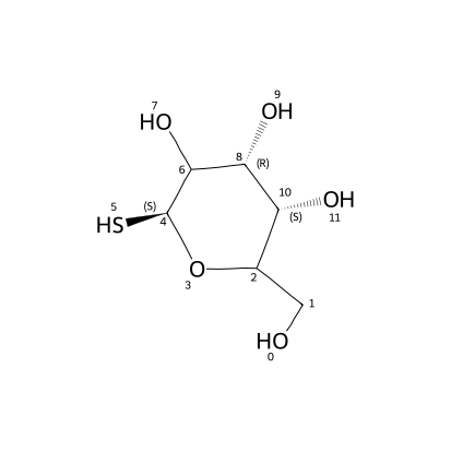 OCC1O[C@@H](S)C(O)[C@H](O)[C@@H]1O